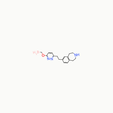 BCOc1ccc(CCc2ccc3c(c2)CCNCC3)nn1